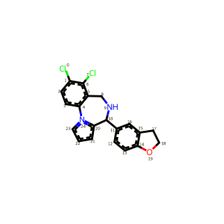 Clc1ccc2c(c1Cl)CNC(c1ccc3c(c1)CCO3)c1cccn1-2